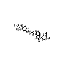 Cn1c(=O)n(C2CCC(=O)NC2=O)c2cccc(CCCOCC3CCN(C(=O)O)C(C(C)(C)C)C3)c21